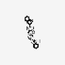 O=C1OC(c2cnc3ccccc3c2)=N/C1=C/N1CCN(c2nc3ccccc3[nH]2)CC1